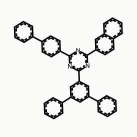 c1ccc(-c2ccc(-c3nc(-c4cc(-c5ccccc5)cc(-c5ccccc5)c4)nc(-c4ccc5ccccc5c4)n3)cc2)cc1